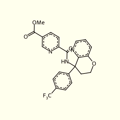 COC(=O)c1ccc(C(=O)NC2(c3ccc(C(F)(F)F)cc3)CCOc3cccnc32)nc1